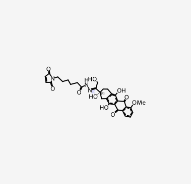 COc1cccc2c1C(=O)c1c(O)c3c(c(O)c1C2=O)C[C@@](O)(/C(CO)=N/NC(=O)CCCCCN1C(=O)C=CC1=O)CC3